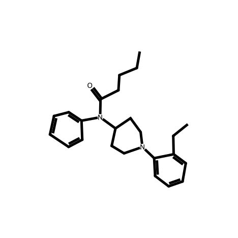 CCCCC(=O)N(c1ccccc1)C1CCN(c2ccccc2CC)CC1